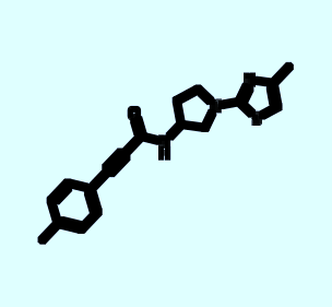 Cc1ccc(C#CC(=O)NC2CCN(c3nc(C)cs3)C2)cc1